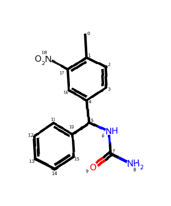 Cc1ccc(C(NC(N)=O)c2ccccc2)cc1[N+](=O)[O-]